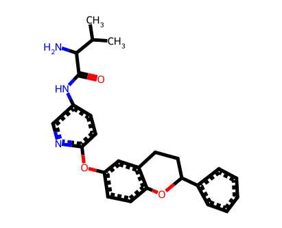 CC(C)C(N)C(=O)Nc1ccc(Oc2ccc3c(c2)CCC(c2ccccc2)O3)nc1